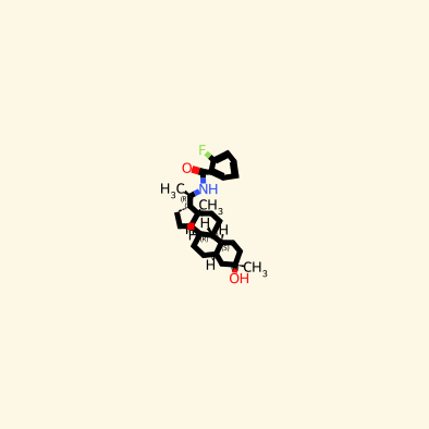 C[C@@H](NC(=O)c1ccccc1F)[C@H]1CC[C@H]2[C@@H]3CC[C@@H]4C[C@](C)(O)CC[C@@H]4[C@H]3CC[C@]12C